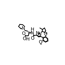 COc1cccc(OC)c1-c1cc(C(=O)N[C@@H](CCN2CCCCC2)CC(=O)O)nn1C1CCCC1C